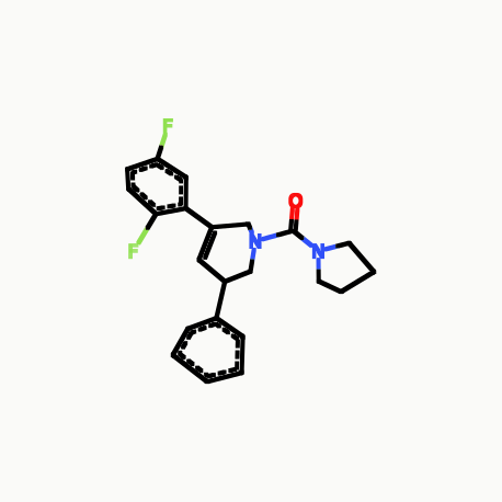 O=C(N1CCCC1)N1CC(c2cc(F)ccc2F)=CC(c2ccccc2)C1